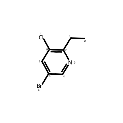 CCc1ncc(Br)cc1Cl